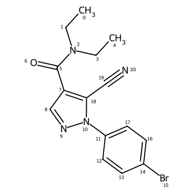 CCN(CC)C(=O)c1cnn(-c2ccc(Br)cc2)c1C#N